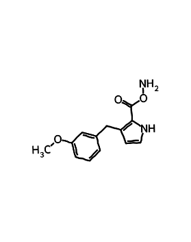 COc1cccc(Cc2cc[nH]c2C(=O)ON)c1